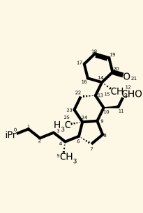 CC(C)CCC[C@@H](C)[C@H]1CCC2[C@H](CC=O)[C@@H]([C@@]3(C)CCC=CC3=O)CC[C@@]21C